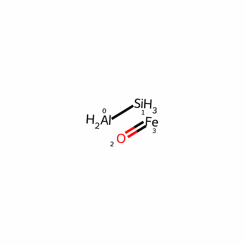 [AlH2][SiH3].[O]=[Fe]